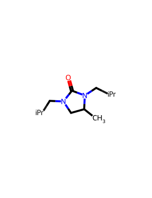 CC(C)CN1CC(C)N(CC(C)C)C1=O